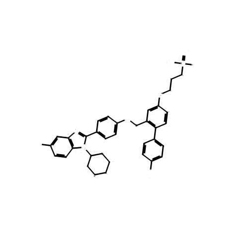 CP(C)(=O)CCCNc1ccc(-c2ccc(Cl)cc2)c(COc2ccc(-c3nc4cc(C(=O)O)ccc4n3C3CCCCC3)cc2)c1